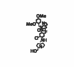 COc1ccc(CN(c2nccs2)S(=O)(=O)c2cc(Cl)c(NC[C@]34CCCN3[C@@H](CO)CC4)cc2F)c(OC)c1